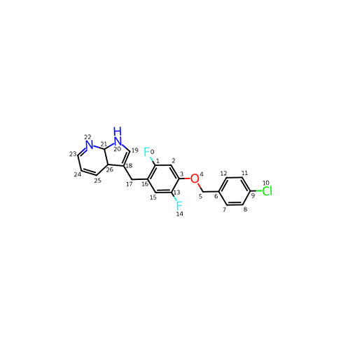 Fc1cc(OCc2ccc(Cl)cc2)c(F)cc1CC1=CNC2N=CC=CC12